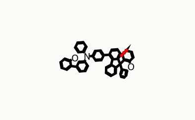 c1ccc(N(c2ccc(-c3cccc4c3-c3ccccc3C43c4ccccc4Oc4ccc5ccccc5c43)cc2)c2cccc3c2oc2ccccc23)cc1